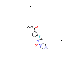 CCCN(Cc1ccc(C(=O)OC)cc1F)C(=O)N1CCN(C)CC1